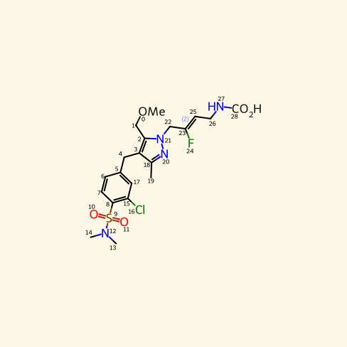 COCc1c(Cc2ccc(S(=O)(=O)N(C)C)c(Cl)c2)c(C)nn1C/C(F)=C/CNC(=O)O